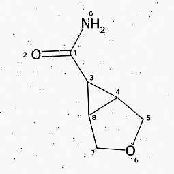 NC(=O)C1C2COCC21